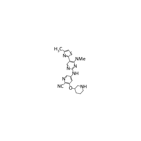 CNc1nc(Nc2cnc(C#N)c(OC3CCCNC3)c2)ncc1-c1nc(C)cs1